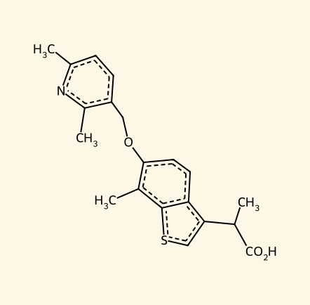 Cc1ccc(COc2ccc3c(C(C)C(=O)O)csc3c2C)c(C)n1